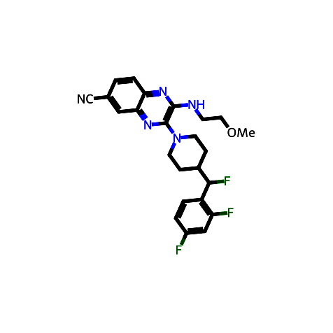 COCCNc1nc2ccc(C#N)cc2nc1N1CCC(C(F)c2ccc(F)cc2F)CC1